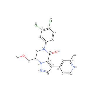 COCC1CN(c2ccc(Cl)c(Cl)c2)C(=O)c2c(-c3ccnc(C)c3)cnn21